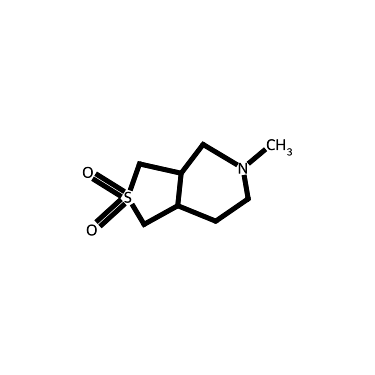 CN1CCC2CS(=O)(=O)CC2C1